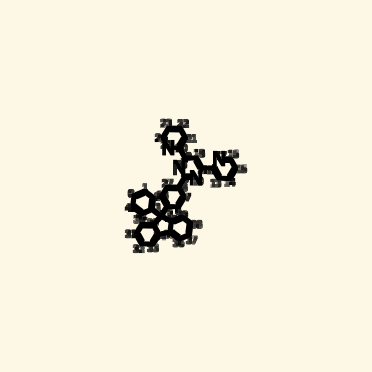 c1ccc(C2(c3ccc(-c4nc(-c5ccccn5)cc(-c5ccccn5)n4)cc3)c3ccccc3-c3ccccc32)cc1